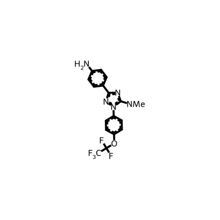 CNc1nc(-c2ccc(N)cc2)nn1-c1ccc(OC(F)(F)C(F)(F)F)cc1